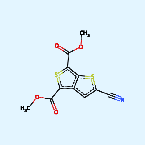 COC(=O)c1sc(C(=O)OC)c2sc(C#N)cc12